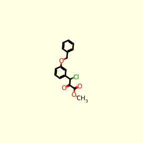 COC(=O)C(=O)C(Cl)c1cccc(OCc2ccccc2)c1